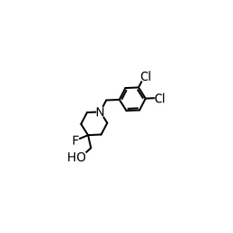 OCC1(F)CCN(Cc2ccc(Cl)c(Cl)c2)CC1